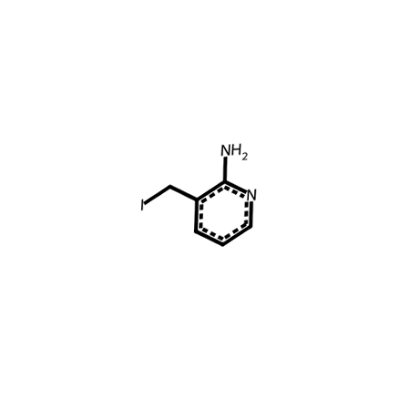 Nc1ncccc1CI